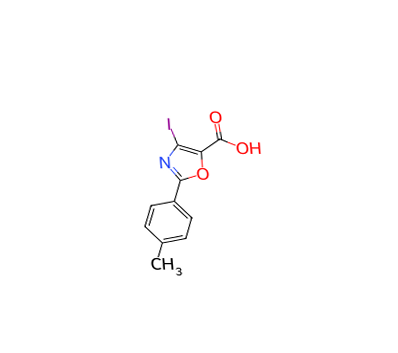 Cc1ccc(-c2nc(I)c(C(=O)O)o2)cc1